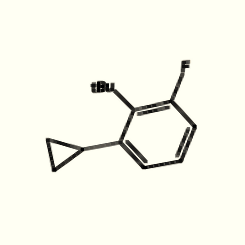 CC(C)(C)c1c(F)cccc1C1CC1